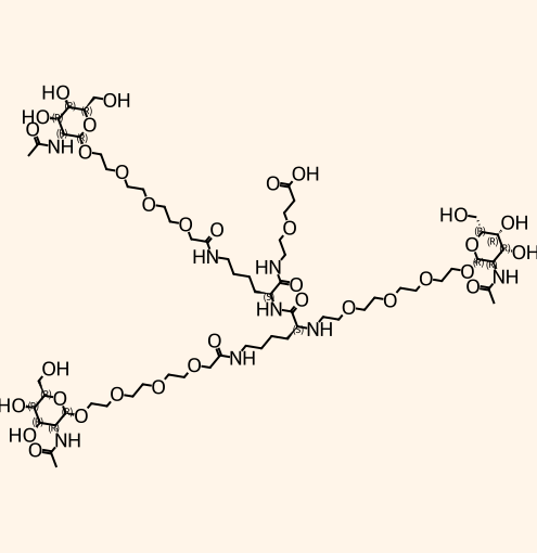 CC(=O)N[C@H]1[C@H](OCCOCCOCCOCCN[C@@H](CCCCNC(=O)COCCOCCOCCO[C@@H]2O[C@H](CO)[C@H](O)[C@H](O)[C@H]2NC(C)=O)C(=O)N[C@@H](CCCCNC(=O)COCCOCCOCCO[C@@H]2O[C@H](CO)[C@H](O)[C@H](O)[C@H]2NC(C)=O)C(=O)NCCOCCC(=O)O)O[C@H](CO)[C@H](O)[C@@H]1O